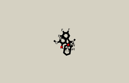 COc1nccc(C(=O)N2[C@H]3CCC[C@@H]2c2nn(C)c(-c4cc(F)c(F)c(F)c4)c2C3)c1Cl